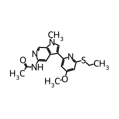 CCSc1cc(OC)cc(-c2cn(C)c3cnc(NC(C)=O)cc23)n1